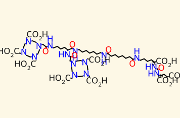 O=C(O)CC[C@H](NC(=O)N[C@@H](CCCCNC(=O)CCCCCCC(=O)NCCCCCCCNC(=O)C(CCCCNC(=O)CN1CCN(CC(=O)O)CCN(CC(=O)O)CCN(CC(=O)O)CC1)NC(=O)CN1CCN(CC(=O)O)CCN(CC(=O)O)CCN(CC(=O)O)CC1)C(=O)O)C(=O)O